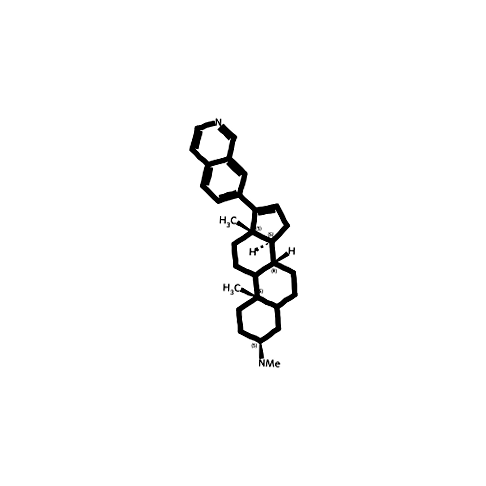 CN[C@H]1CC[C@@]2(C)C(CC[C@@H]3C2CC[C@]2(C)C(c4ccc5ccncc5c4)=CC[C@@H]32)C1